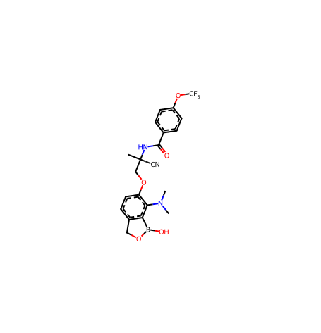 CN(C)c1c(OCC(C)(C#N)NC(=O)c2ccc(OC(F)(F)F)cc2)ccc2c1B(O)OC2